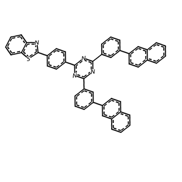 c1cc(-c2ccc3ccccc3c2)cc(-c2nc(-c3ccc(-c4nc5ccccc5s4)cc3)nc(-c3cccc(-c4ccc5ccccc5c4)c3)n2)c1